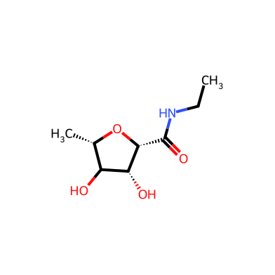 CCNC(=O)[C@H]1O[C@@H](C)C(O)[C@H]1O